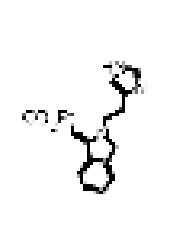 CCOC(=O)C=C1c2ccccc2CN1CCc1c[nH]cn1